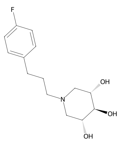 O[C@H]1[C@H](O)CN(CCCc2ccc(F)cc2)C[C@@H]1O